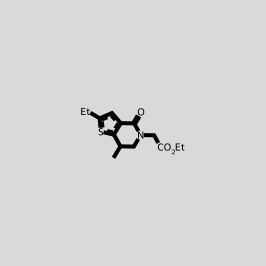 CCOC(=O)CN1CC(C)c2sc(CC)cc2C1=O